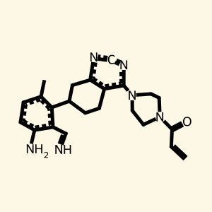 C=CC(=O)N1CCN(c2ncnc3c2CCC(c2c(C)ccc(N)c2C=N)C3)CC1